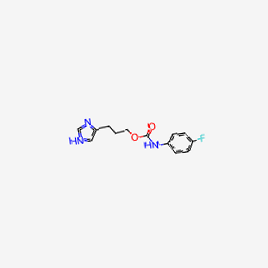 O=C(Nc1ccc(F)cc1)OCCCc1c[nH]cn1